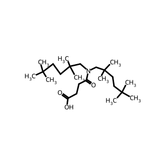 CC(C)(C)CCC(C)(C)CN(CC(C)(C)CCC(C)(C)C)C(=O)CCC(=O)O